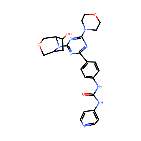 O=C(Nc1ccncc1)Nc1ccc(-c2nc(N3CCOCC3)nc(N3C4COCC3C(O)C4)n2)cc1